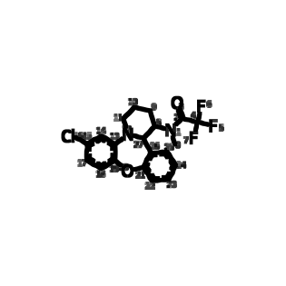 CN(C(=O)C(F)(F)F)C1CCCN2c3cc(Cl)ccc3Oc3ccccc3C12